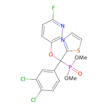 COP(=O)(OC)C(Oc1ccc(F)nc1)(c1ccc(Cl)c(Cl)c1)c1nccs1